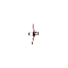 CCCCCCCCCCCCCCC=CC[N+]1=C(C(C)O)N(CCCCCCCCCCCCCCCCCC)CC1.[Cl-]